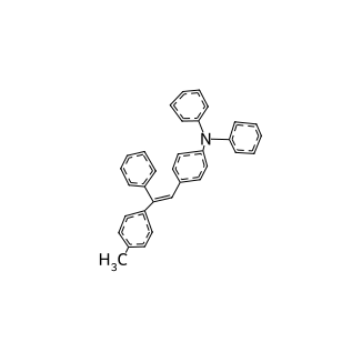 Cc1ccc(C(=Cc2ccc(N(c3ccccc3)c3ccccc3)cc2)c2ccccc2)cc1